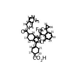 Cn1ncc2c1CN(C(=O)C1CCc3c(C4=CCC(C(=O)O)CC4)nn(C(=O)c4c(Cl)cccc4C4(C(F)(F)F)CC4)c3C1)C2